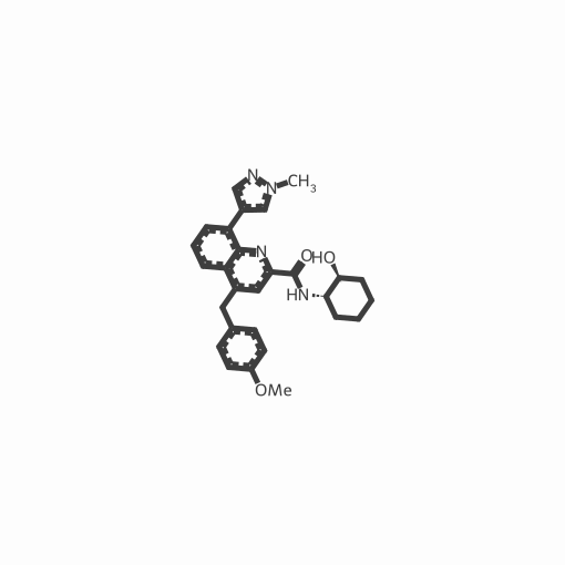 COc1ccc(Cc2cc(C(=O)N[C@H]3CCCC[C@@H]3O)nc3c(-c4cnn(C)c4)cccc23)cc1